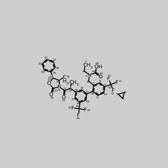 C1CC1.CCN(Cc1cc(C(F)(F)F)ccc1-c1cc([C@H](C)C(=O)N2C(=O)O[C@@H](c3ccccc3)[C@H]2C)cc(C(F)(F)F)c1)C(=O)O